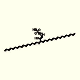 CCCCCCCCCCCCCCCCOC(CCCCCCCCCCCCCCCC)C(O)CO.O=S(=O)(O)O